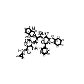 CCCC(NC(=O)[C@@H]1[C@H]2CCC[C@H]2CN1C(=O)[C@@H](NC(=O)[C@H](CC1CCCCC1)NC(=O)c1cnccn1)C(C)(C)C)C(=O)C(=O)NC1CC1